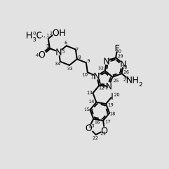 C[C@H](O)C(=O)N1CCC(CCn2c(Cc3cc4c(cc3I)OCO4)nc3c(N)nc(F)nc32)CC1